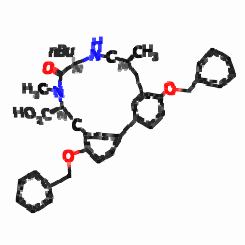 CCCC[C@@H]1NC[C@@H](C)Cc2cc(ccc2OCc2ccccc2)-c2ccc(OCc3ccccc3)c(c2)C[C@@H](C(=O)O)N(C)C1=O